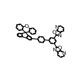 c1ccc2c(c1)Oc1ccccc1C21c2ccccc2-c2ccc(-c3ccc(-c4cc(-c5nc6cccnc6o5)cc(-c5nc6cccnc6o5)c4)cc3)cc21